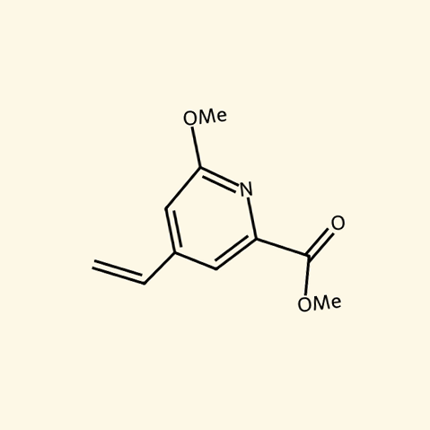 C=Cc1cc(OC)nc(C(=O)OC)c1